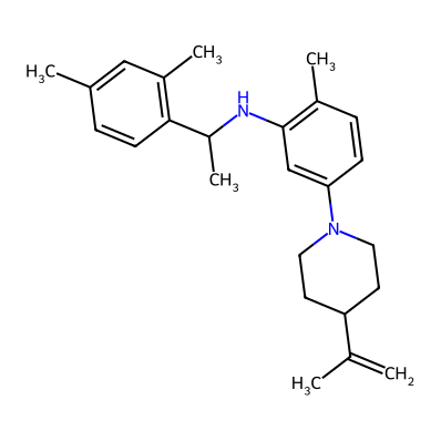 C=C(C)C1CCN(c2ccc(C)c(NC(C)c3ccc(C)cc3C)c2)CC1